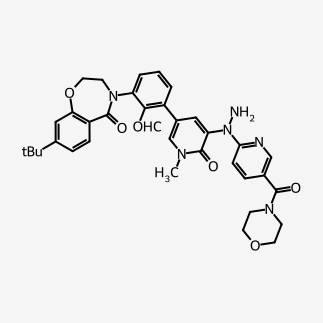 Cn1cc(-c2cccc(N3CCOc4cc(C(C)(C)C)ccc4C3=O)c2C=O)cc(N(N)c2ccc(C(=O)N3CCOCC3)cn2)c1=O